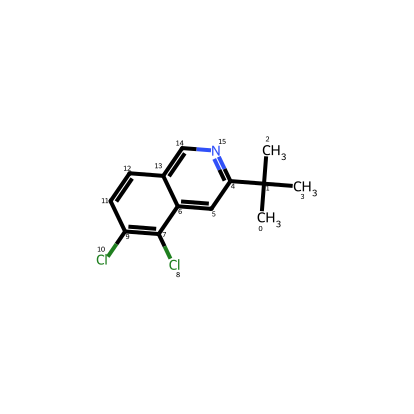 CC(C)(C)c1cc2c(Cl)c(Cl)ccc2cn1